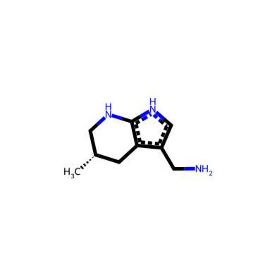 C[C@@H]1CNc2[nH]cc(CN)c2C1